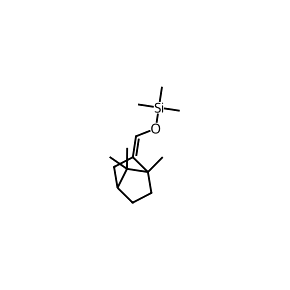 CC12CCC(CC1=CO[Si](C)(C)C)C2(C)C